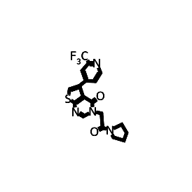 O=C(Cn1cnc2scc(-c3ccnc(C(F)(F)F)c3)c2c1=O)N1CCCC1